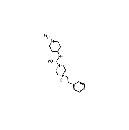 CCC1(CCc2ccccc2)CCN(C(O)NC2CCN(C)CC2)CC1